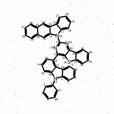 c1ccc(-n2c3ccccc3c3c(-c4nc(-n5c6ccccc6c6cc7ccccc7cc65)nc5c4sc4ccccc45)cccc32)cc1